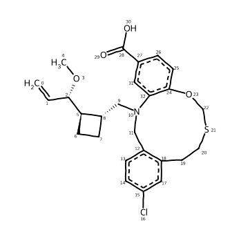 C=C[C@H](OC)[C@@H]1CC[C@H]1CN1Cc2ccc(Cl)cc2CCSCOc2ccc(C(=O)O)cc21